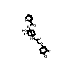 O=C(COc1ccc(Cl)c(F)c1)NC12CCC(NC(=O)c3ccccn3)(CC1)[C@@H](O)C2